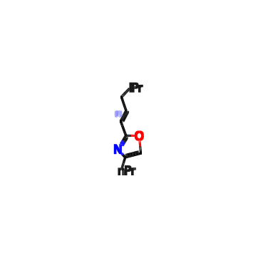 CCCc1coc(/C=C/CC(C)C)n1